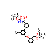 CC(C)(C)OC(=O)Cc1ccccc1OCc1cc(-c2cccc([C@@H](CO)NC(=O)OC(C)(C)C)c2)cc(C2CC2)c1